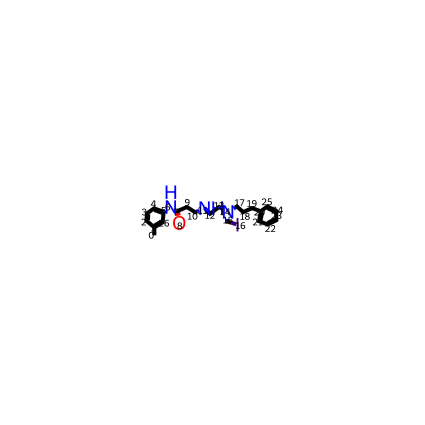 Cc1cccc(NC(=O)CCNCCN(CI)CCCc2ccccc2)c1